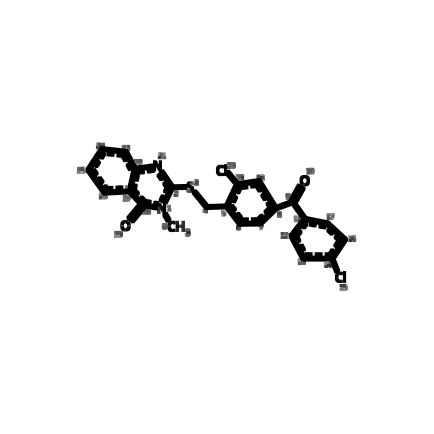 Cn1c(SCc2ccc(C(=O)c3ccc(Cl)cc3)cc2Cl)nc2ccccc2c1=O